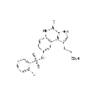 O=C(O)CCc1c[nH]c2c(=O)[nH]c3ccc(NS(=O)(=O)c4ccccc4Cl)cc3c12